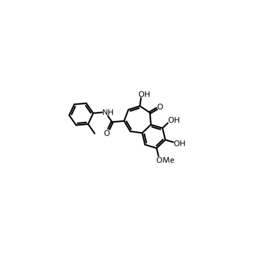 COc1cc2cc(C(=O)Nc3ccccc3C)cc(O)c(=O)c2c(O)c1O